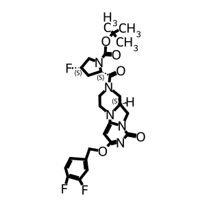 CC(C)(C)OC(=O)N1C[C@@H](F)C[C@H]1C(=O)N1CCN2c3cc(OCc4ccc(F)c(F)c4)nc(=O)n3C[C@@H]2C1